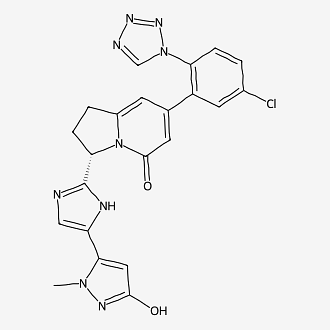 Cn1nc(O)cc1-c1cnc([C@@H]2CCc3cc(-c4cc(Cl)ccc4-n4cnnn4)cc(=O)n32)[nH]1